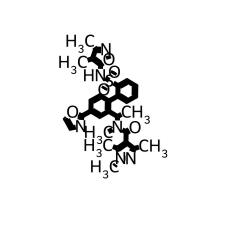 Cc1noc(NS(=O)(=O)c2ccccc2-c2ccc(-c3ncco3)cc2C(C)N(C)C(=O)c2c(C)nn(C)c2C)c1C